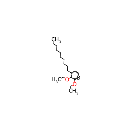 CCCCCCCCCCc1ccbc(OCC)c1OCC